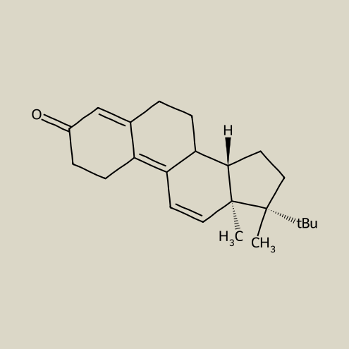 CC(C)(C)[C@@]1(C)CC[C@H]2C3CCC4=CC(=O)CCC4=C3C=C[C@@]21C